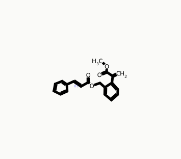 C=C(C(=O)OC)c1ccccc1COC(=O)/C=C/c1ccccc1